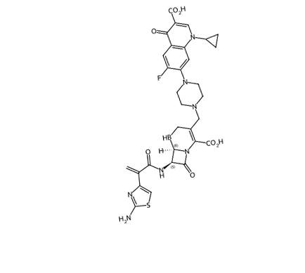 C=C(C(=O)N[C@@H]1C(=O)N2C(C(=O)O)=C(CN3CCN(c4cc5c(cc4F)c(=O)c(C(=O)O)cn5C4CC4)CC3)CB[C@H]12)c1csc(N)n1